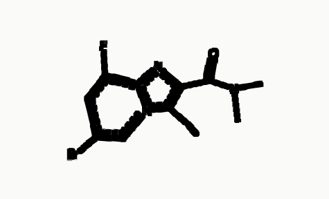 Cc1c(C(=O)N(C)C)nc2c(F)cc(Br)cn12